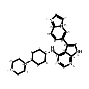 c1nc(N[C@H]2CC[C@H](N3CCOCC3)CC2)c2c(-c3ccc4nccn4c3)c[nH]c2n1